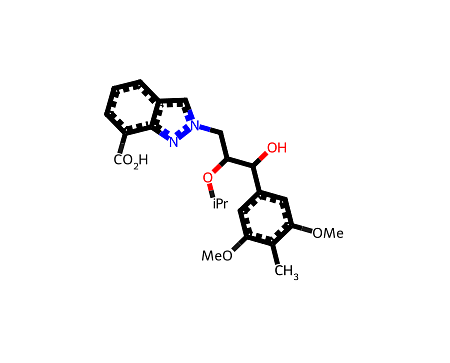 COc1cc(C(O)C(Cn2cc3cccc(C(=O)O)c3n2)OC(C)C)cc(OC)c1C